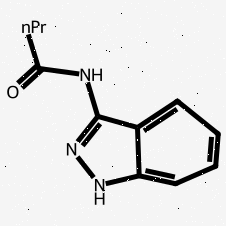 CCCC(=O)Nc1n[nH]c2ccccc12